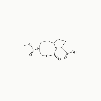 COC(=O)N1CCC(=O)N2C(CCC2C(=O)O)CC1